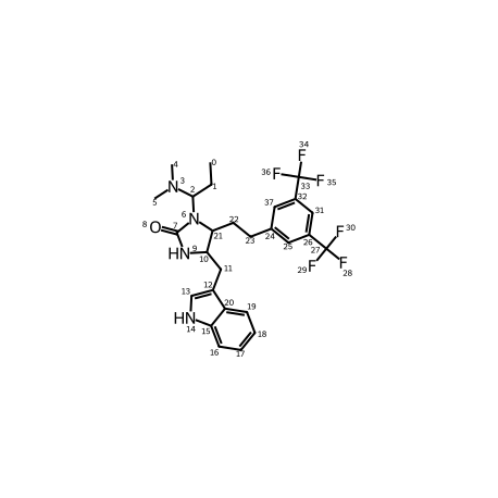 CCC(N(C)C)N1C(=O)NC(Cc2c[nH]c3ccccc23)C1CCc1cc(C(F)(F)F)cc(C(F)(F)F)c1